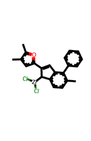 Cc1cc(C2=Cc3c(ccc(C)c3-c3ccccc3)[CH]2[Zr]([Cl])[Cl])oc1C